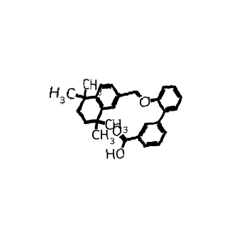 CC1(C)CCC(C)(C)c2cc(COc3ccccc3-c3cccc(C(=O)O)c3)ccc21